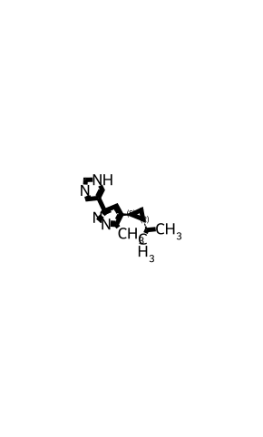 Cc1nnc(C2=CNCN=C2)cc1[C@H]1C[C@@H]1C(C)C